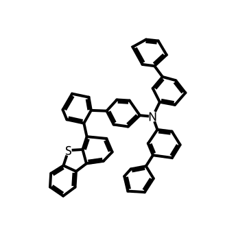 c1ccc(-c2cccc(N(c3ccc(-c4ccccc4-c4cccc5c4sc4ccccc45)cc3)c3cccc(-c4ccccc4)c3)c2)cc1